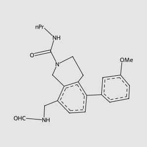 CCCNC(=O)N1CCc2c(-c3cccc(OC)c3)ccc(CNC=O)c2C1